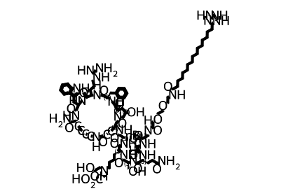 CCCC[C@H](NC(=O)[C@H](CCCCN(CC(=O)O)CC(O)O)NC(=O)[C@H](CO)NC(=O)[C@H](CCC(N)=O)NC(=O)[C@H](CO)NC(=O)CNC(=O)COCCOCCNC(=O)CCCCCCCCCCCCCCCC1=NNNN1)C(=O)N[C@H]1CCC(=O)NCCCCC(C(N)=O)NC(=O)C(Cc2c[nH]c3ccccc23)NC(=O)C(CCCNC(=N)N)NC(=O)[C@@H](Cc2ccccc2)NC(=O)[C@@H]2C[C@@H](O)CN2C1=O